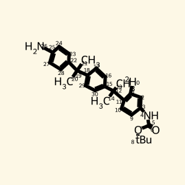 [2H]c1cc(NC(=O)OC(C)(C)C)ccc1C(C)(C)c1ccc(C(C)(C)c2ccc(N)cc2)cc1